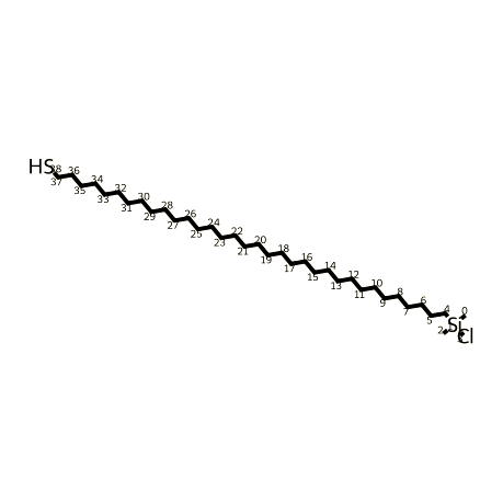 C[Si](C)(Cl)CCCCCCCCCCCCCCCCCCCCCCCCCCCCCCCCCCS